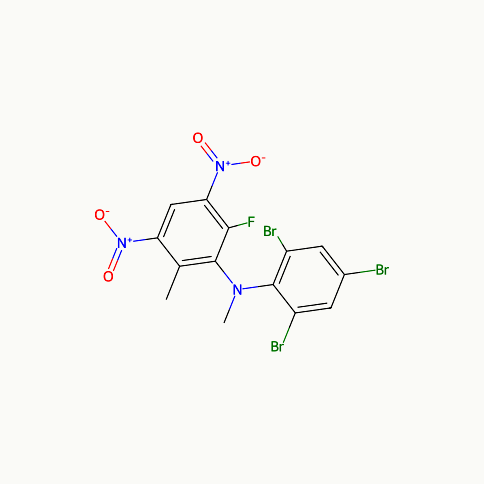 Cc1c([N+](=O)[O-])cc([N+](=O)[O-])c(F)c1N(C)c1c(Br)cc(Br)cc1Br